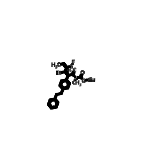 C=C(/C(=C(CC)\C(=C/C)SF)c1ccc(CCc2ccccc2)cc1)N(C)C(=O)OC(C)(C)C